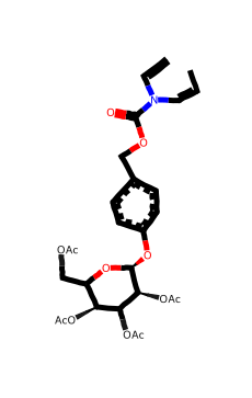 C=CN(/C=C\C)C(=O)OCc1ccc(O[C@@H]2OC(COC(C)=O)[C@H](OC(C)=O)C(OC(C)=O)[C@@H]2OC(C)=O)cc1